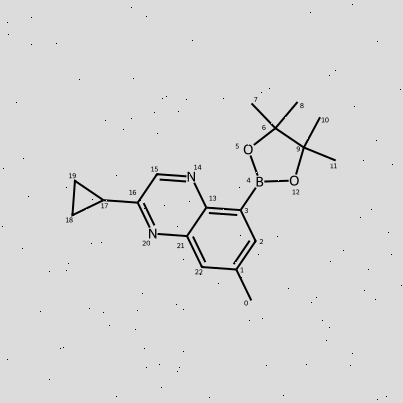 Cc1cc(B2OC(C)(C)C(C)(C)O2)c2ncc(C3CC3)nc2c1